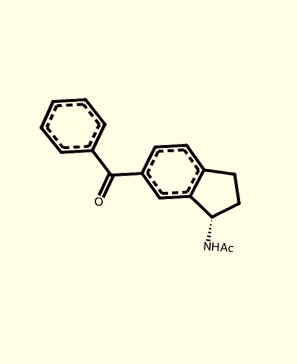 CC(=O)N[C@H]1CCc2ccc(C(=O)c3ccccc3)cc21